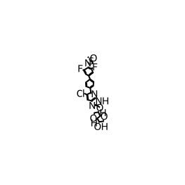 CS(C)(=O)=Nc1c(F)cc(-c2ccc(-c3nc4[nH]c(O[C@@H]5CO[C@H]6[C@@H]5OC[C@H]6O)nc4cc3Cl)cc2)cc1F